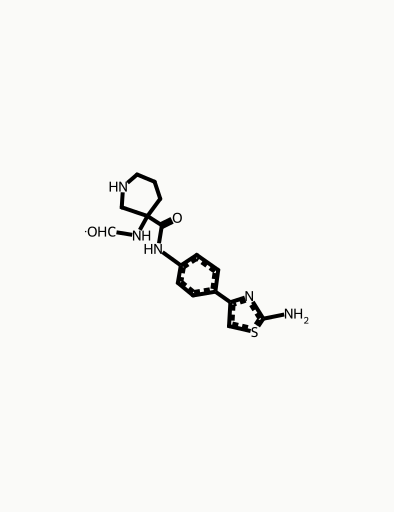 Nc1nc(-c2ccc(NC(=O)C3(N[C]=O)CCCNC3)cc2)cs1